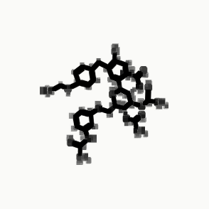 CCOc1ccc(Cc2cc([C@@H]3O[C@H](COc4cccc(NC(C)=O)c4)[C@@H](OC(C)=O)[C@H](OC(C)=O)[C@H]3OC(C)=O)ccc2Cl)cc1